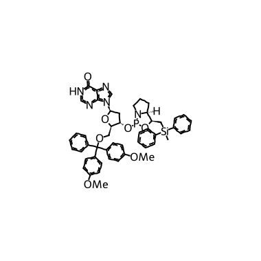 COc1ccc(C(OC[C@H]2O[C@@H](n3cnc4c(=O)[nH]cnc43)C[C@@H]2O[P@]2O[C@H](C[Si](C)(c3ccccc3)c3ccccc3)[C@@H]3CCCN32)(c2ccccc2)c2ccc(OC)cc2)cc1